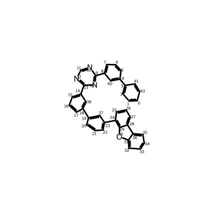 c1ccc(-c2cccc(-c3ncnc(-c4cccc(-c5cccc(-c6cccc7c6oc6ccccc67)c5)c4)n3)c2)cc1